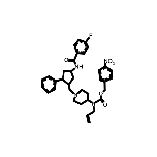 C=CCN(C(=O)OCc1ccc([N+](=O)[O-])cc1)C1CCN(CC2CC(NC(=O)c3ccc(F)cc3)CC2c2ccccc2)CC1